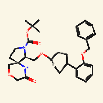 CC(C)(C)OC(=O)N1CC[C@@]2(COCC(=O)N2)[C@@H]1COC1CCC(c2ccccc2OCc2ccccc2)CC1